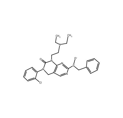 CCN(CC)CCN1C(=O)N(c2ccccc2Cl)Cc2cnc([S+]([O-])Cc3ccccc3)nc21